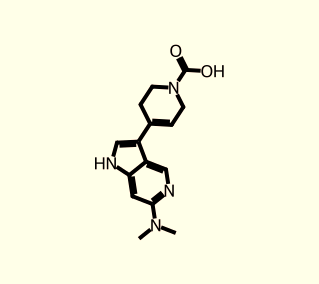 CN(C)c1cc2[nH]cc(C3=CCN(C(=O)O)CC3)c2cn1